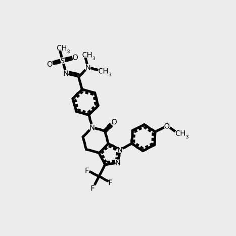 COc1ccc(-n2nc(C(F)(F)F)c3c2C(=O)N(c2ccc(C(=NS(C)(=O)=O)N(C)C)cc2)CC3)cc1